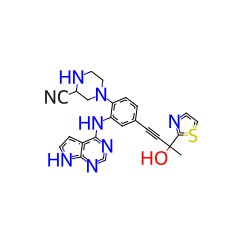 CC(O)(C#Cc1ccc(N2CCNC(C#N)C2)c(Nc2ncnc3[nH]ccc23)c1)c1nccs1